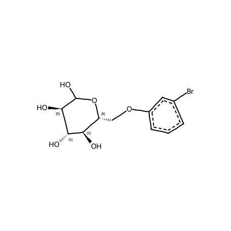 OC1O[C@H](COc2cccc(Br)c2)[C@@H](O)[C@H](O)[C@H]1O